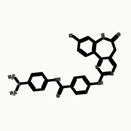 CN(C)c1ccc(NC(=O)c2ccc(Nc3ncc4c(n3)-c3ccc(Cl)cc3NC(=O)C4)cc2)cc1